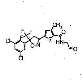 Cc1cc(C2=NOC(c3cc(Cl)cc(Cl)c3)(C(F)(F)F)C2)sc1C(=O)NCC=O